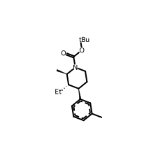 CC[C@@H]1[C@@H](C)N(C(=O)OC(C)(C)C)CC[C@H]1c1cccc(C)c1